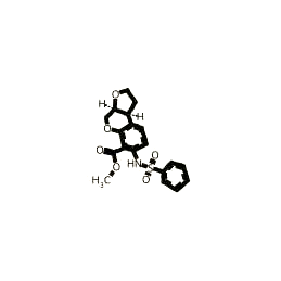 COC(=O)c1c(NS(=O)(=O)c2ccccc2)ccc2c1OC[C@H]1OCC[C@@H]21